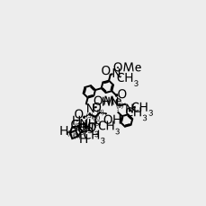 COc1c(CN2O[C@@H](CO)[C@@H]([C@H](C)O)[C@H]2C(=O)N[C@H]2C[C@H]3C[C@@H]([C@@H]2C)C3(C)C)cccc1-c1cc(C(=O)N[C@@H](Cc2ccccc2)CN(C)C)cc(C(=O)N(C)OC)c1